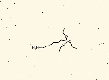 CCO[Si](CCCSCCN)(OCC)OCC